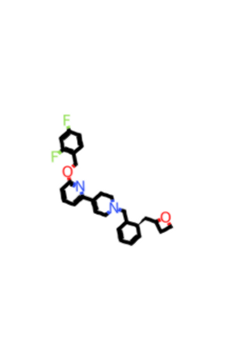 Fc1ccc(COc2cccc(C3=CCN(CC4C=CC=C[C@@H]4CC4CCO4)CC3)n2)c(F)c1